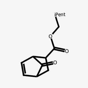 CCCC(C)COC(=O)C1CC2C=CC1C2=O